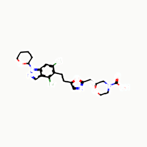 O=C(O)N1CCO[C@@H](Cc2ncc(CCc3c(Cl)cc4c(cnn4C4CCCCO4)c3Br)o2)C1